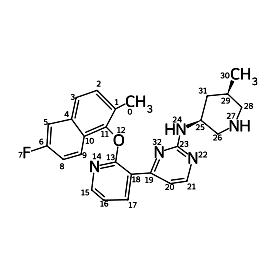 Cc1ccc2cc(F)ccc2c1Oc1ncccc1-c1ccnc(N[C@@H]2CNC[C@H](C)C2)n1